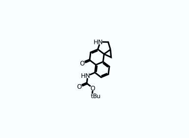 CC(C)(C)OC(=O)Nc1cccc2c1C(=O)C=C1NCC3CC123